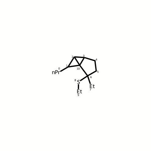 CCCC1C2C3CCC(CC)(SCC)C132